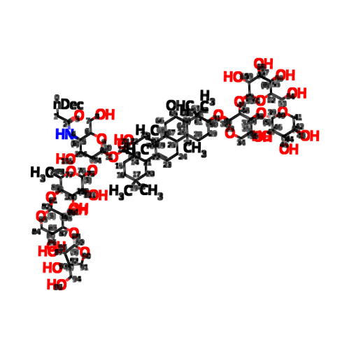 CCCCCCCCCCCC(=O)N[C@H]1C(CO)O[C@@H](OC(=O)[C@]23CCC(C)(C)CC2C2=CCC4C5(C)CC[C@H](O[C@@H]6OC[C@@H](O)[C@H](O[C@@H]7OC[C@@H](O)[C@H](O)C7O)C6O[C@@H]6OC(CO)[C@H](O)[C@H](O)C6O)[C@](C)(C=O)[C@@H]5CC[C@]4(C)[C@]2(C)CC3O)[C@H](O[C@@H]2OC(C)[C@H](O[C@@H]3OC[C@@H](O)C(O[C@@H]4OC[C@@](O)(CO)C4O)[C@H]3O)C(O)[C@@H]2O)C1O